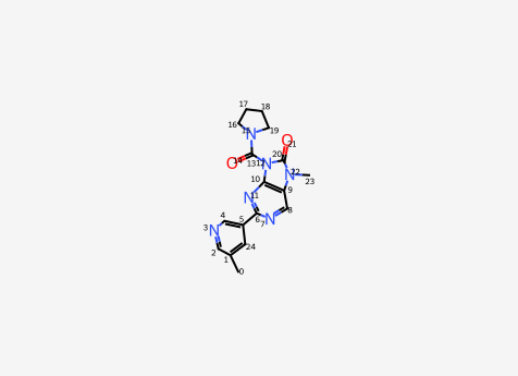 Cc1cncc(-c2ncc3c(n2)n(C(=O)N2CCCC2)c(=O)n3C)c1